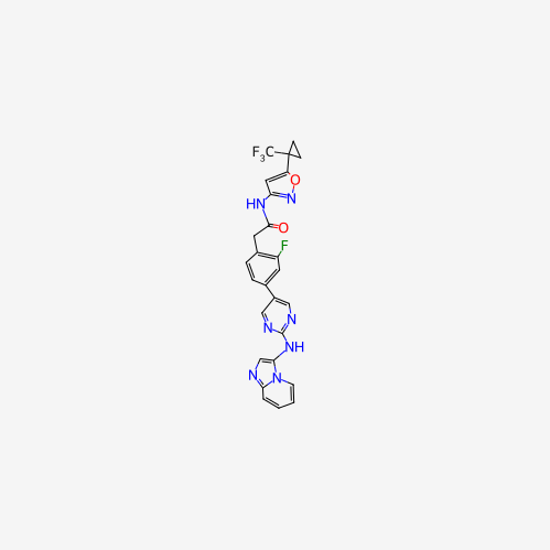 O=C(Cc1ccc(-c2cnc(Nc3cnc4ccccn34)nc2)cc1F)Nc1cc(C2(C(F)(F)F)CC2)on1